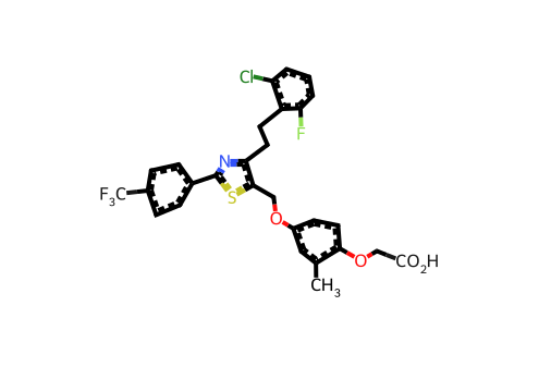 Cc1cc(OCc2sc(-c3ccc(C(F)(F)F)cc3)nc2CCc2c(F)cccc2Cl)ccc1OCC(=O)O